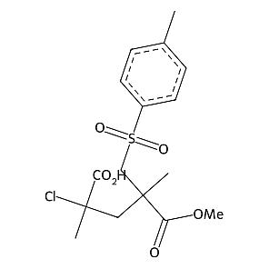 COC(=O)C(C)(CC(C)(Cl)C(=O)O)CS(=O)(=O)c1ccc(C)cc1